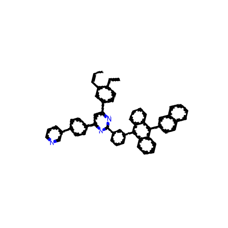 C=Cc1ccc(-c2cc(-c3ccc(-c4cccnc4)cc3)nc(-c3cccc(-c4c5ccccc5c(-c5ccc6ccccc6c5)c5ccccc45)c3)n2)cc1/C=C\C